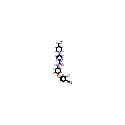 N#Cc1ccc(OC2CCC(NC(=O)c3ncc(N4CCC(C=O)CC4)cn3)CC2)cc1Cl